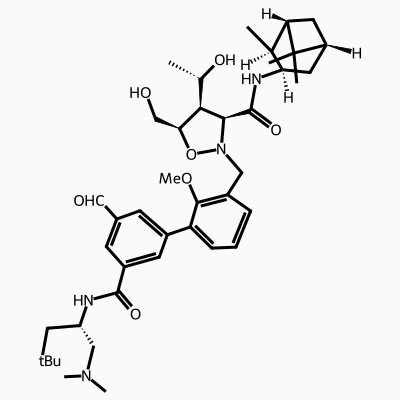 COc1c(CN2O[C@@H](CO)[C@@H]([C@H](C)O)[C@H]2C(=O)N[C@@H]2C[C@H]3C[C@@H]([C@@H]2C)C3(C)C)cccc1-c1cc(C=O)cc(C(=O)N[C@H](CN(C)C)CC(C)(C)C)c1